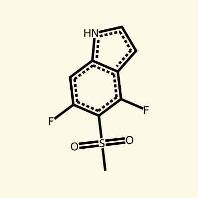 CS(=O)(=O)c1c(F)cc2[nH]ccc2c1F